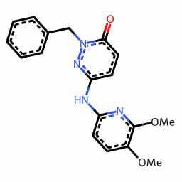 COc1ccc(Nc2ccc(=O)n(Cc3ccccc3)n2)nc1OC